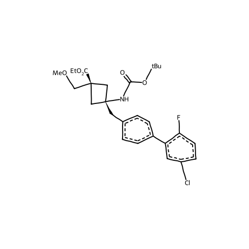 CCOC(=O)[C@]1(COC)C[C@@](Cc2ccc(-c3cc(Cl)ccc3F)cc2)(NC(=O)OC(C)(C)C)C1